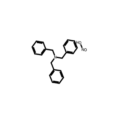 O=NO.c1ccc(CN(Cc2ccccc2)Cc2ccccc2)cc1